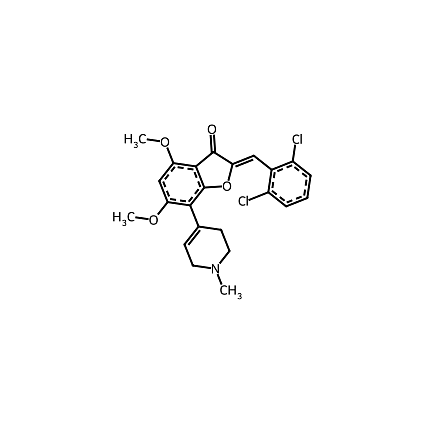 COc1cc(OC)c(C2=CCN(C)CC2)c2c1C(=O)/C(=C/c1c(Cl)cccc1Cl)O2